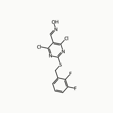 O/N=C/c1c(Cl)nc(SCc2cccc(F)c2F)nc1Cl